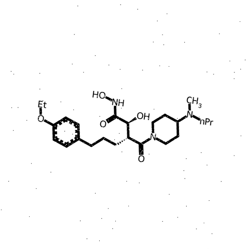 CCCN(C)C1CCN(C(=O)[C@H](CCCc2ccc(OCC)cc2)[C@H](O)C(=O)NO)CC1